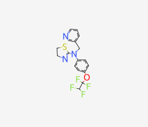 FC(F)C(F)(F)Oc1ccc(N(Cc2cccnc2)C2=NCCS2)cc1